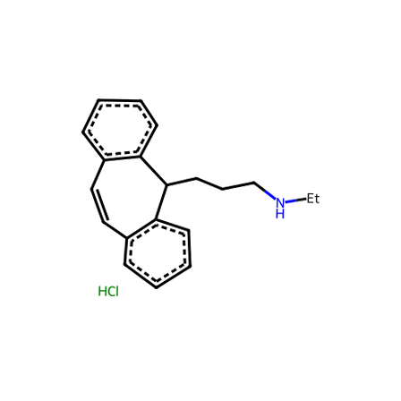 CCNCCCC1c2ccccc2C=Cc2ccccc21.Cl